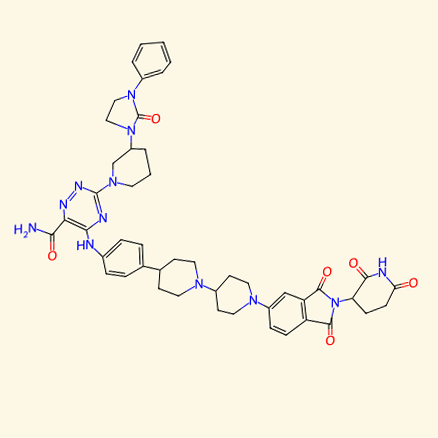 NC(=O)c1nnc(N2CCCC(N3CCN(c4ccccc4)C3=O)C2)nc1Nc1ccc(C2CCN(C3CCN(c4ccc5c(c4)C(=O)N(C4CCC(=O)NC4=O)C5=O)CC3)CC2)cc1